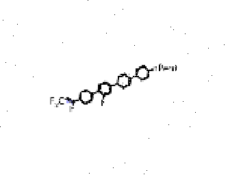 CCCCCC1CCC(C2CCC(c3ccc(C4CCC(/C(F)=C/C(F)(F)F)CC4)c(F)c3)CC2)CC1